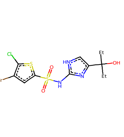 CCC(O)(CC)c1c[nH]c(NS(=O)(=O)c2cc(Br)c(Cl)s2)n1